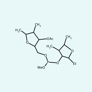 CCC1OC(C)C(C)C1OP(OC)OCC1OC(C)C(C)C1OC(C)=O